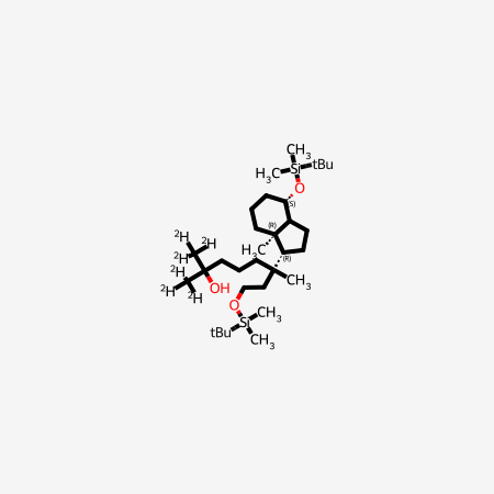 [2H]C([2H])([2H])C(O)(CCCC(C)(CCO[Si](C)(C)C(C)(C)C)[C@H]1CCC2[C@@H](O[Si](C)(C)C(C)(C)C)CCC[C@@]21C)C([2H])([2H])[2H]